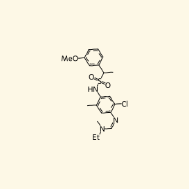 CCN(C)/C=N\c1cc(C)c(NS(=O)(=O)C(C)c2cccc(OC)c2)cc1Cl